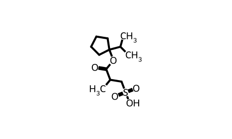 CC(CS(=O)(=O)O)C(=O)OC1(C(C)C)CCCC1